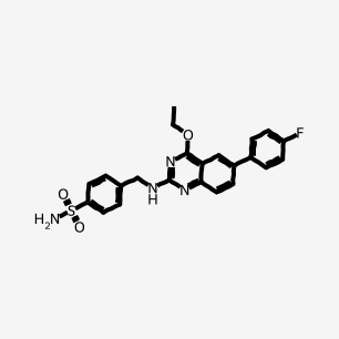 CCOc1nc(NCc2ccc(S(N)(=O)=O)cc2)nc2ccc(-c3ccc(F)cc3)cc12